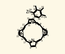 C1=Cc2cc3ccc(cc4nc(cc5ccc(cc1n2)[nH]5)C=C4)[nH]3.Cc1cc[c]([Zn])c(C)c1C